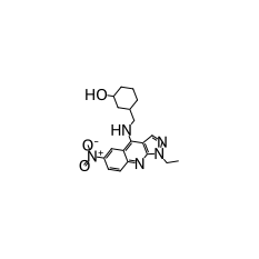 CCn1ncc2c(NCC3CCCC(O)C3)c3cc([N+](=O)[O-])ccc3nc21